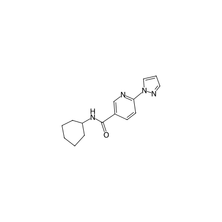 O=C(NC1CCCCC1)c1ccc(-n2cccn2)nc1